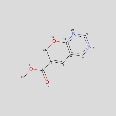 COC(=O)C1=Cc2cncnc2OC1